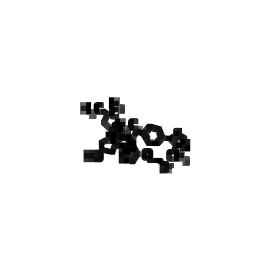 Cc1ncsc1-c1ccc([C@H](C)NC(=O)C2(n3cc(OCCBr)cn3)CC(O)CN2C(=O)CC(C)C)cc1